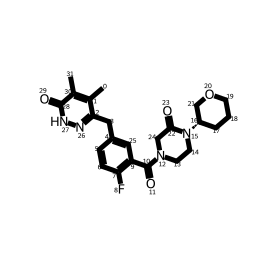 Cc1c(Cc2ccc(F)c(C(=O)N3CCN([C@H]4CCCOC4)C(=O)C3)c2)n[nH]c(=O)c1C